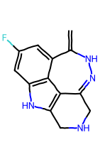 C=c1[nH]nc2c3c([nH]c4cc(F)cc1c43)CNC2